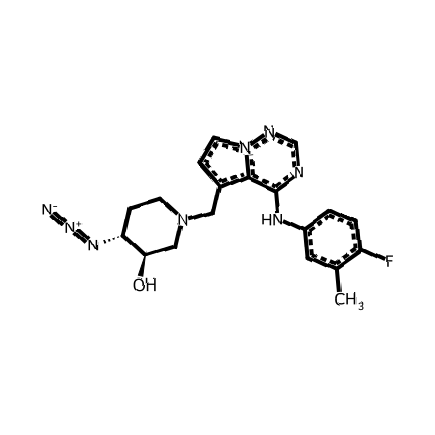 Cc1cc(Nc2ncnn3ccc(CN4CC[C@@H](N=[N+]=[N-])[C@H](O)C4)c23)ccc1F